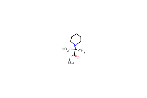 CC(C)(C)OC(=O)C(C)(C(=O)O)N1CCCCC1